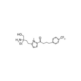 CCC(N)(CO)CCc1ccc(C(=O)CCCc2ccc(C(F)(F)F)cc2)n1C